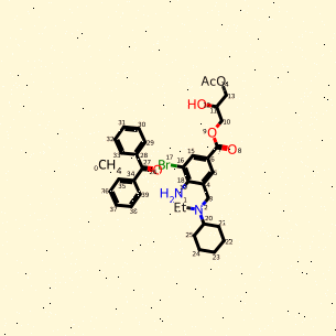 C.CCN(Cc1cc(C(=O)OCC(O)COC(C)=O)cc(Br)c1N)C1CCCCC1.O=C(c1ccccc1)c1ccccc1